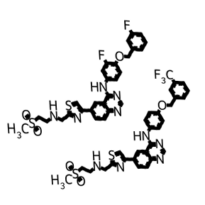 CS(=O)(=O)CCNCc1nc(-c2ccc3ncnc(Nc4ccc(OCc5cccc(C(F)(F)F)c5)cc4)c3c2)cs1.CS(=O)(=O)CCNCc1nc(-c2ccc3ncnc(Nc4ccc(OCc5cccc(F)c5)c(F)c4)c3c2)cs1